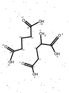 CC(CCC(=O)O)C(=O)O.O=C(O)CCCC(=O)O